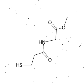 COC(=O)CNC(=O)CCS